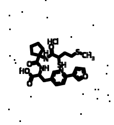 CSCCC(S)C(=O)NC1(C(=O)NC(Cc2ccc(-c3ccoc3)nc2)C(=O)O)CCCC1.Cl